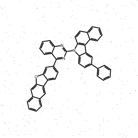 c1ccc(-c2ccc3c(c2)c2c4ccccc4ccc2n3-c2nc(-c3ccc4c(c3)oc3cc5ccccc5cc34)c3ccccc3n2)cc1